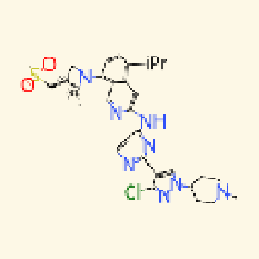 CC(C)c1ccc(N2C[C@H](CS(C)(=O)=O)[C@H]2C)c2cnc(Nc3ccnc(-c4cn(C5CCN(C)CC5)nc4Cl)n3)cc12